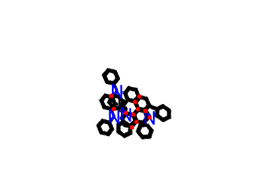 c1ccc(N2c3cccc(-c4cccc5c6ccccc6n(-c6ccccc6)c45)c3B3c4c(-c5cccc6c7ccccc7n(-c7ccccc7)c56)cccc4N(c4ccccc4)c4cccc2c43)cc1